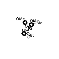 CCC(=O)Oc1ccccc1NCc1sc2cc(OC)c(OC)cc2c1Oc1ccc(OC)cc1